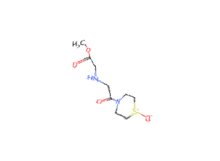 COC(=O)CNCC(=O)N1CC[S+]([O-])CC1